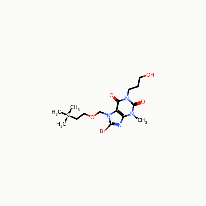 Cn1c(=O)n(CCCO)c(=O)c2c1nc(Br)n2COCC[Si](C)(C)C